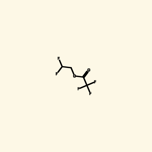 O=C(OCC(F)F)C(F)(F)F